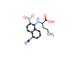 CCCC(Nc1c([N+](=O)[O-])ccc2c(C#N)cccc12)C(=O)O